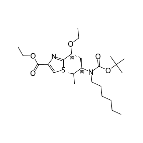 CCCCCCN(C(=O)OC(C)(C)C)[C@H](C[C@@H](OCC)c1nc(C(=O)OCC)cs1)C(C)C